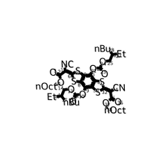 [C-]#[N+]C(C(=O)OCCCCCCCC)=C1Sc2c(OC(=O)OCC(CC)CCCC)c3c(c(OC(=O)OCC(CC)CCCC)c2S1)SC(=C(C#N)C(=O)OCCCCCCCC)S3